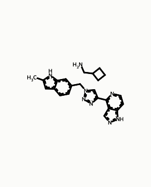 Cc1cc2ccc(Cn3cc(-c4nccc5[nH]ncc45)nn3)cc2[nH]1.NCC1CCC1